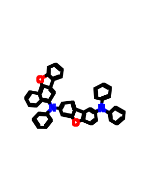 c1ccc(N(c2ccccc2)c2ccc3oc4cc(N(c5ccccc5)c5cc6c7ccccc7oc6c6ccccc56)ccc4c3c2)cc1